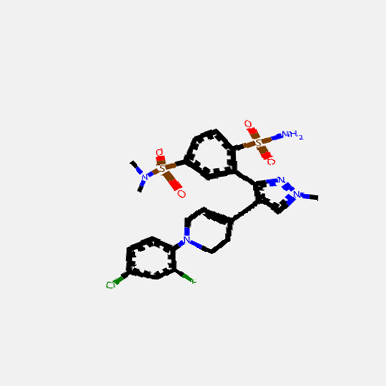 CN(C)S(=O)(=O)c1ccc(S(N)(=O)=O)c(-c2nn(C)cc2C2=CCN(c3ccc(Cl)cc3F)CC2)c1